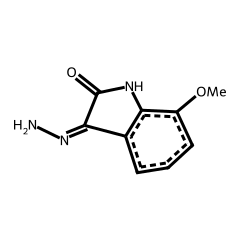 COc1cccc2c1NC(=O)/C2=N\N